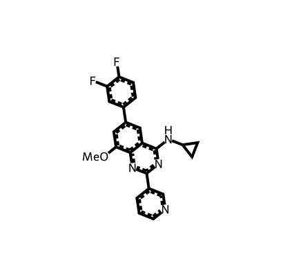 COc1cc(-c2ccc(F)c(F)c2)cc2c(NC3CC3)nc(-c3cccnc3)nc12